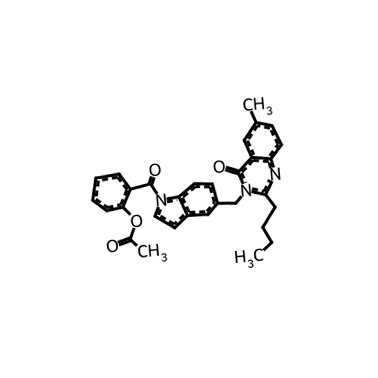 CCCCc1nc2ccc(C)cc2c(=O)n1Cc1ccc2c(ccn2C(=O)c2ccccc2OC(C)=O)c1